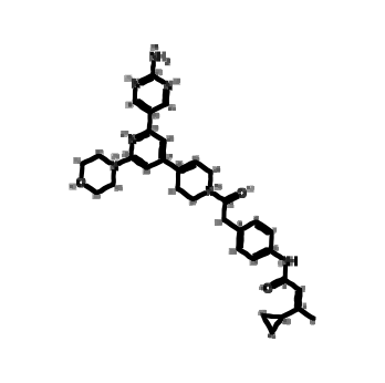 C/C(=C/C(=O)Nc1ccc(CC(=O)N2CC=C(c3cc(-c4cnc(N)nc4)nc(N4CCOCC4)c3)CC2)cc1)C1CC1